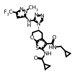 Cn1nc(C(F)(F)F)cc1Nc1nncn1[C@H]1COc2sc(NC(=O)C3CC3)c(C(=O)NCC3CC3)c2C1